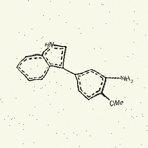 COc1ccc(-c2c[nH]c3ccccc23)cc1N